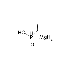 CC[PH](=O)O.[MgH2]